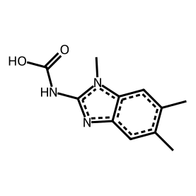 Cc1cc2nc(NC(=O)O)n(C)c2cc1C